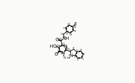 CN1c2ccccc2CC1c1nc(C(=O)NCc2ccc(F)cc2)c(O)c(=O)n1C